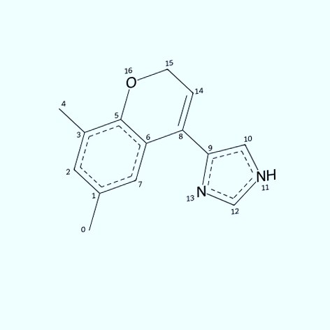 Cc1cc(C)c2c(c1)C(c1c[nH]cn1)=CCO2